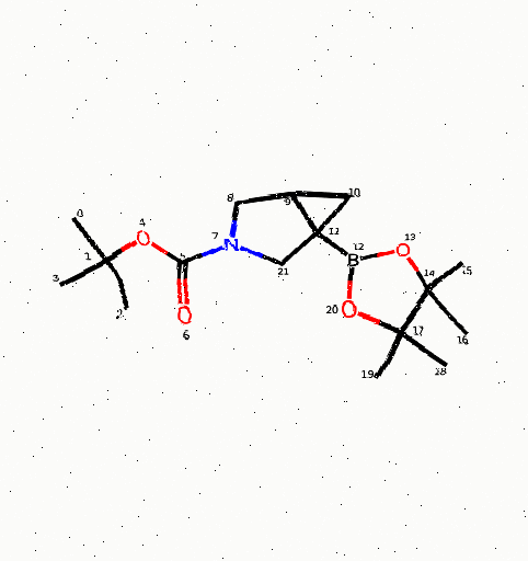 CC(C)(C)OC(=O)N1CC2CC2(B2OC(C)(C)C(C)(C)O2)C1